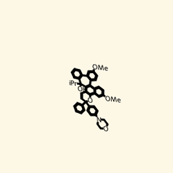 COc1ccc2c(c1)-c1ccccc1C(O)(C(C)C)c1c3c(c4cc(OC)ccc4c1-2)OC(c1ccccc1)(c1ccc(N2CCOCC2)cc1)C=C3